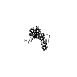 CCOC(=O)NC1(c2ccccc2Cl)C(=O)N(S(=O)(=O)c2ccc(NC(=O)Oc3ccccc3)cc2OC)c2ccc(Cl)cc21